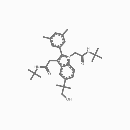 Cc1cc(C)cc(-c2c(CC(=O)NC(C)(C)C)c3cc(C(C)(C)CO)ccc3n2CC(=O)NC(C)(C)C)c1